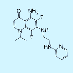 CC(C)n1ccc(=O)c2c(N)c(F)c(NCCNc3ccccn3)c(F)c21